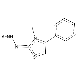 CC(=O)NN=c1scc(-c2ccccc2)n1C